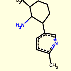 Cc1ccc(C2CCCC([N+](=O)[O-])C2N)cn1